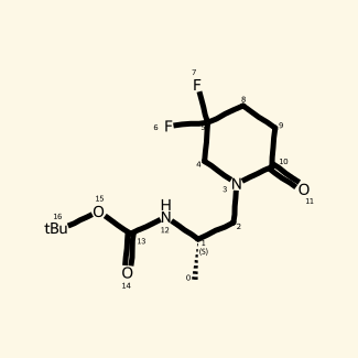 C[C@@H](CN1CC(F)(F)CCC1=O)NC(=O)OC(C)(C)C